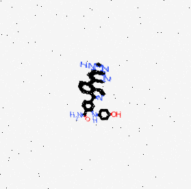 NC(=O)c1ccc(-c2nccc3c(-c4cnc5nc[nH]c5c4)cccc23)cc1NC1CCC(O)CC1